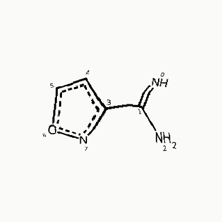 N=C(N)c1ccon1